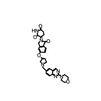 O=C1CC[C@H](N2Cc3cc(O[C@H]4CCN(Cc5ccc6nc(N7CCOCC7)ncc6c5)C4)ccc3C2=O)C(=O)N1